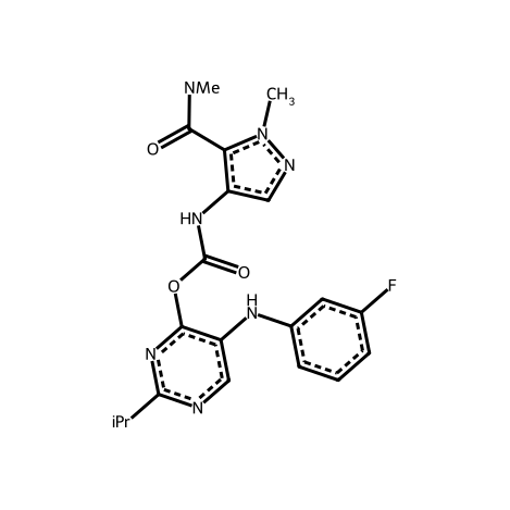 CNC(=O)c1c(NC(=O)Oc2nc(C(C)C)ncc2Nc2cccc(F)c2)cnn1C